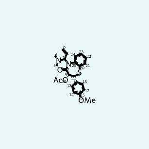 C=CC(N(C)C)N1C(=O)[C@@H](OC(C)=O)[C@@H](c2ccc(OC)cc2)Sc2ccccc21